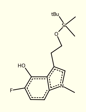 Cn1cc(CCO[Si](C)(C)C(C)(C)C)c2c(O)c(F)ccc21